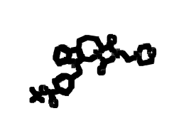 CC(C)(C)OC(=O)c1ccc(Cn2c3c(c4ccccc42)CCCC2C(=O)N(CCN4CCOCC4)CC(=O)N2C3)cc1